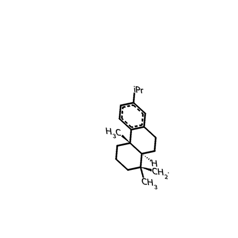 [CH2][C@@]1(C)CCC[C@]2(C)c3ccc(C(C)C)cc3CC[C@@H]12